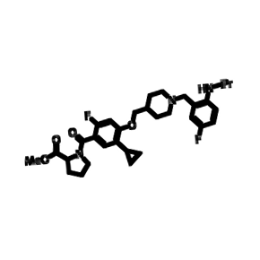 COC(=O)C1CCCN1C(=O)c1cc(C2CC2)c(OCC2CCN(Cc3cc(F)ccc3NC(C)C)CC2)cc1F